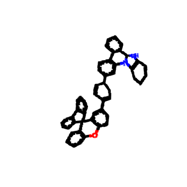 C1=CC2=C(CC1)N1c3cc(C4C=CC(c5ccc6c(c5)C5(c7ccccc7O6)c6ccccc6-c6ccccc65)=CC4)ccc3-c3ccccc3C1N2